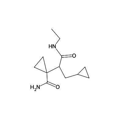 CCNC(=O)C(CC1CC1)C1(C(N)=O)CC1